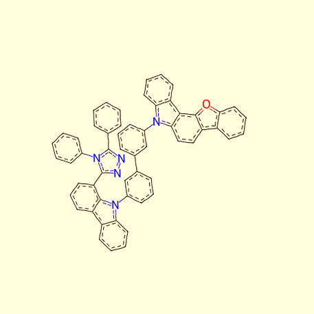 c1ccc(-c2nnc(-c3cccc4c5ccccc5n(-c5cccc(-c6cccc(-n7c8ccccc8c8c9oc%10ccccc%10c9ccc87)c6)c5)c34)n2-c2ccccc2)cc1